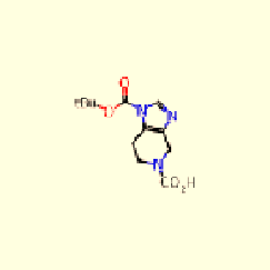 CC(C)(C)OC(=O)n1cnc2c1CCN(C(=O)O)C2